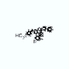 O=C(O)c1ccc(CN2CCC(c3c(C(=O)N4CC[C@H](c5ccccc5)C4)cnn3-c3ccc(F)cc3F)CC2)cc1